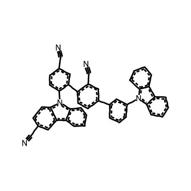 N#Cc1ccc(-n2c3ccccc3c3cc(C#N)ccc32)c(-c2ccc(-c3cccc(-n4c5ccccc5c5ccccc54)c3)cc2C#N)c1